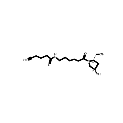 C#CCCCC(=O)NCCCCCC(=O)N1C[C@H](O)C[C@H]1CO